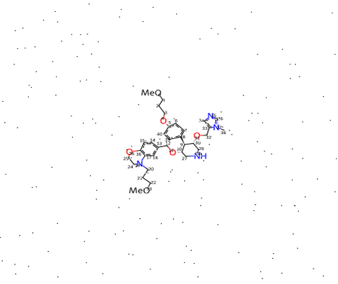 COCCCOc1ccc([C@@H]2[C@@H](OCc3ccc4c(c3)N(CCCOC)CCO4)CNC[C@H]2OCc2cncn2C)cc1